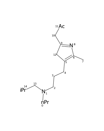 CCCN(CCCC1=C(C)N=C(CC(C)=O)C1)CC(C)C